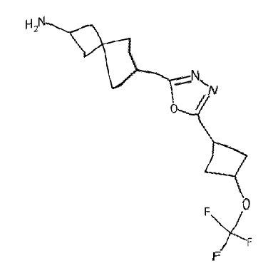 NC1CC2(C1)CC(c1nnc(C3CC(OC(F)(F)F)C3)o1)C2